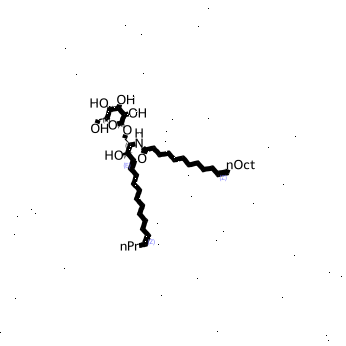 CCC/C=C\CCCCCCCC/C=C/[C@@H](O)[C@H](CO[C@@H]1O[C@H](CO)[C@@H](O)C(O)C1O)NC(=O)CCCCCCCCC/C=C\CCCCCCCC